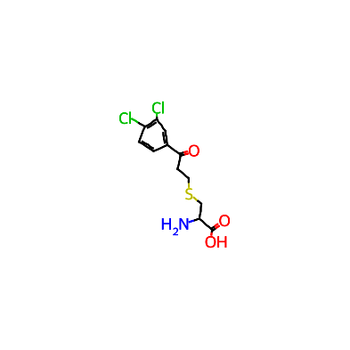 NC(CSCCC(=O)c1ccc(Cl)c(Cl)c1)C(=O)O